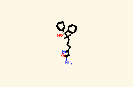 CC(C)(CCCc1cc(N)on1)[Si](O)(c1ccccc1)c1ccccc1